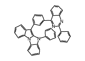 c1ccc(-c2nc(-c3cccc(-c4c5ccccc5n5c6ccccc6n(-c6ccccc6)c45)c3)c3ccccc3n2)cc1